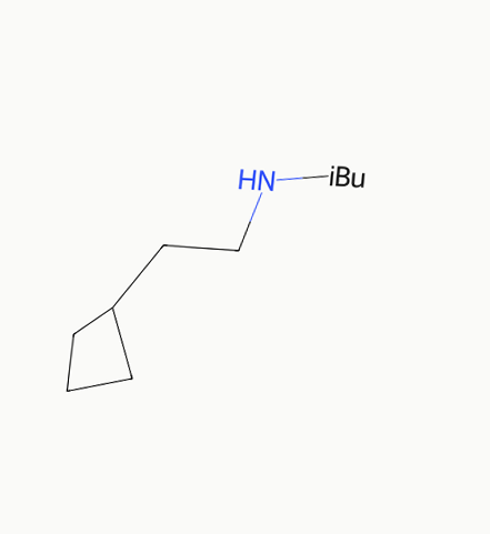 CCC(C)NCCC1CCC1